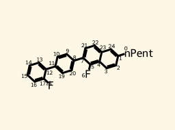 CCCCCc1ccc2c(F)c(-c3ccc(-c4ccccc4F)cc3)ccc2c1